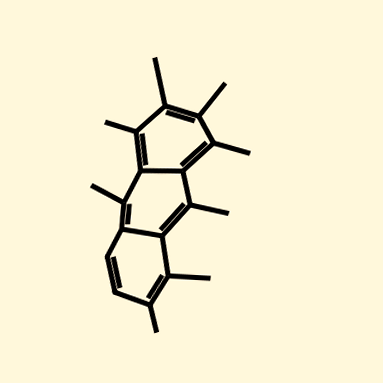 Cc1ccc2c(C)c3c(C)c(C)c(C)c(C)c3c(C)c2c1C